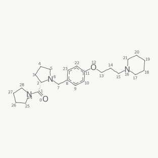 O=C([C@@H]1CCCN1Cc1ccc(OCCCN2CCCCC2)cc1)N1CCCC1